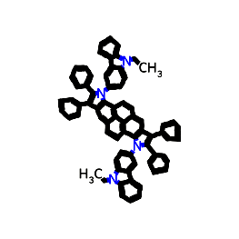 CCn1c2ccccc2c2cc(-n3c(-c4ccccc4)c(-c4ccccc4)c4cc5ccc6c7c(ccc(c57)c43)cc3c(-c4ccccc4)c(-c4ccccc4)n(-c4ccc5c(c4)c4ccccc4n5CC)c36)ccc21